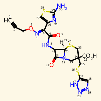 C#CCON=C(C(=O)NC1C(=O)N2CC(CSc3cnn[nH]3)(C(=O)O)CS[C@H]12)c1csc(N)n1